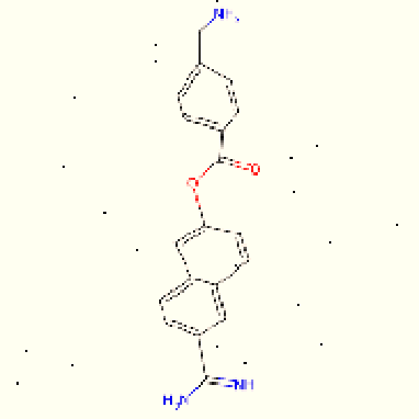 N=C(N)c1ccc2cc(OC(=O)c3ccc(CN)cc3)ccc2c1